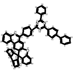 c1ccc(-c2ccc(-c3nc(-c4ccccc4)nc(-c4ccc(-c5nc6ccccc6c6cc7c(cc56)Oc5ccccc5C75c6ccccc6-c6ccccc65)cc4)n3)cc2)cc1